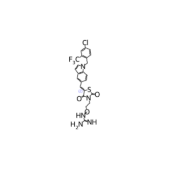 N=C(N)NOCCN1C(=O)S/C(=C\c2ccc3c(ccn3Cc3ccc(Cl)cc3C(F)(F)F)c2)C1=O